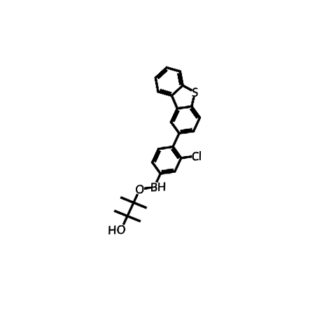 CC(C)(O)C(C)(C)OBc1ccc(-c2ccc3sc4ccccc4c3c2)c(Cl)c1